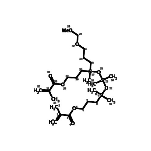 C=C(C)C(=O)OCCC[Si](C)(C)O[Si](C)(C)O[Si](C)(CCCOCOC)CCCOC(=O)C(=C)C